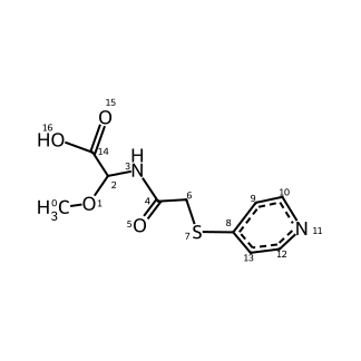 COC(NC(=O)CSc1ccncc1)C(=O)O